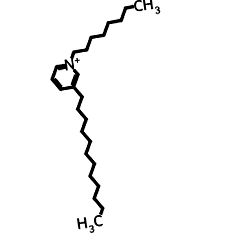 CCCCCCCCCCCCc1ccc[n+](CCCCCCCC)c1